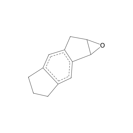 c1c2c(cc3c1CC1OC31)CCC2